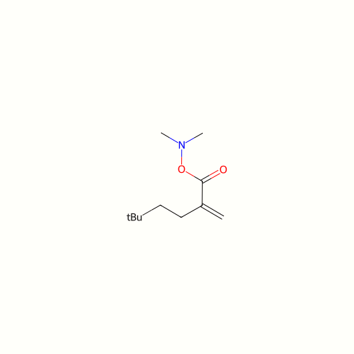 C=C(CCC(C)(C)C)C(=O)ON(C)C